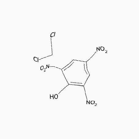 ClCCl.O=[N+]([O-])c1cc([N+](=O)[O-])c(O)c([N+](=O)[O-])c1